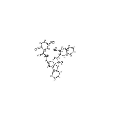 O=C(NCC1=NOC(Cc2ccccc2)(C(=O)NC(Cc2ccccc2)B(O)O)C1)c1cc(Cl)ccc1Cl